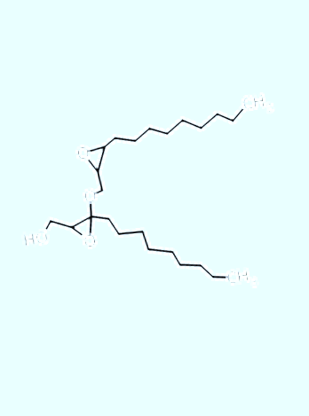 CCCCCCCCCC1OC1COC1(CCCCCCCCC)OC1CO